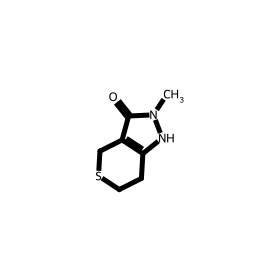 Cn1[nH]c2c(c1=O)CSCC2